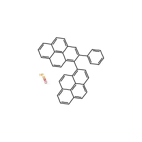 O=P.c1ccc(-c2cc3ccc4cccc5ccc(c2-c2ccc6ccc7cccc8ccc2c6c78)c3c45)cc1